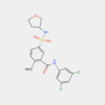 COc1ccc(S(=O)(=O)NC2CCOC2)cc1C(=O)Nc1cc(Cl)cc(Cl)c1